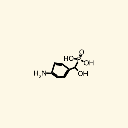 Nc1ccc(C(O)P(=O)(O)O)cc1